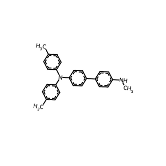 CNc1ccc(-c2ccc(N(c3ccc(C)cc3)c3ccc(C)cc3)cc2)cc1